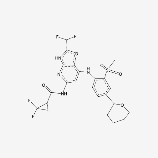 CS(=O)(=O)c1cc(C2CCCCO2)ccc1Nc1cc(NC(=O)C2CC2(F)F)nc2[nH]c(C(F)F)nc12